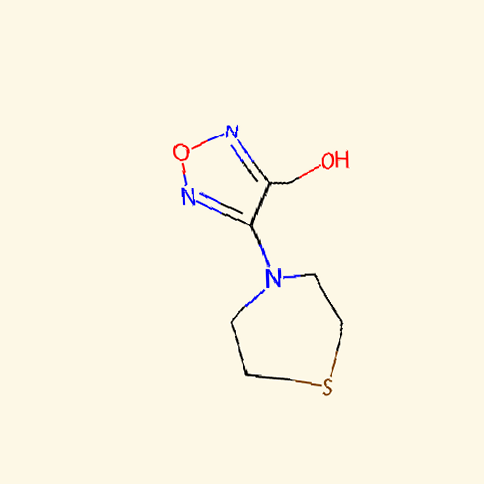 Oc1nonc1N1CCSCC1